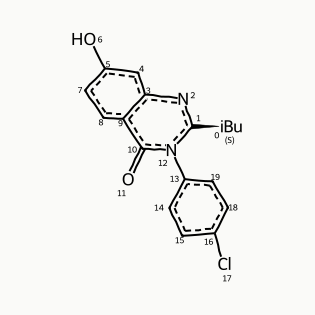 CC[C@H](C)c1nc2cc(O)ccc2c(=O)n1-c1ccc(Cl)cc1